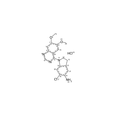 COc1cc2ncnc(N3CCc4cc(N)c(Cl)cc43)c2cc1OC.Cl